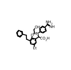 CCc1cc(CCc2ccccc2)c(OCCO)c(C(Nc2ccc(C(=N)N)cc2)C(=O)O)c1